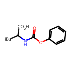 CCC(C)C(NC(=O)Oc1ccccc1)C(=O)O